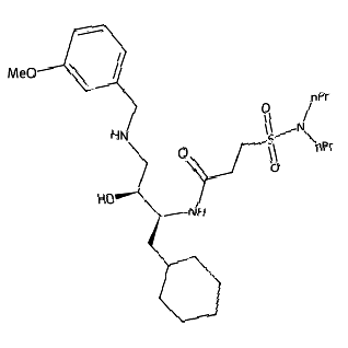 CCCN(CCC)S(=O)(=O)CCC(=O)N[C@@H](CC1CCCCC1)[C@@H](O)CNCc1cccc(OC)c1